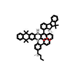 CCC[C@H](C)c1ccc(N2c3cc4c(cc3Bc3c2cc2ccccc2c3-c2cccc3c2[C@@H](C)C2=C3c3ccccc3C2(C)C)C(C)(C)c2ccccc2C4(C)C)c(-c2ccccc2)c1